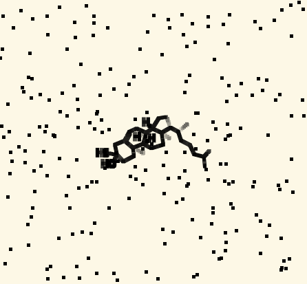 CC(C)CCC[C@@H](C)[C@H]1CC[C@H]2[C@@H]3CC=C4CC(O)(S)CC[C@]4(C)[C@H]3CC[C@]12C